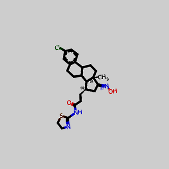 C[C@]12CCC3c4ccc(Cl)cc4CCC3C1[C@H](CCC(=O)NC1=NCCS1)C/C2=N\O